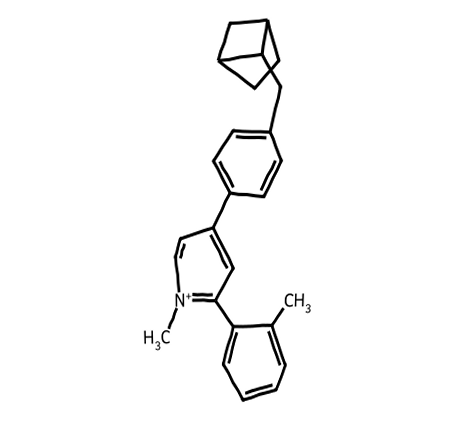 Cc1ccccc1-c1cc(-c2ccc(CC3C4CCC3C4)cc2)cc[n+]1C